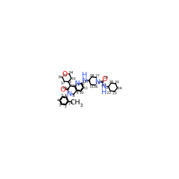 Cc1ccccc1N1Cc2ccc(NC3CCN(C(=O)NC4CCCCC4)CC3)nc2C(C2CCOCC2)C1=O